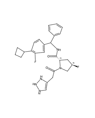 O=C(NC(c1ccccc1)c1ccc(C2CCC2)c(F)c1)[C@@H]1C[C@@H](F)CN1C(=O)CC1=CNNN1